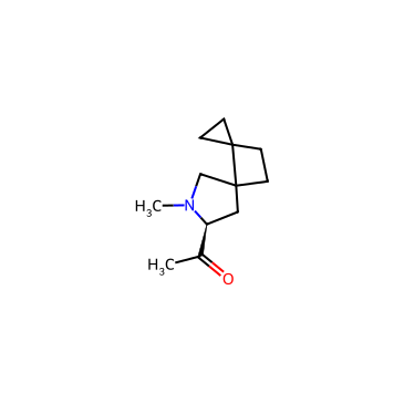 CC(=O)[C@@H]1CC2(CCC23CC3)CN1C